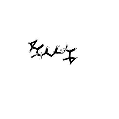 C=C(N(C)NC(=O)CC(=O)NN(C)C(=C)C1(C)CC1)C1(C)CC1